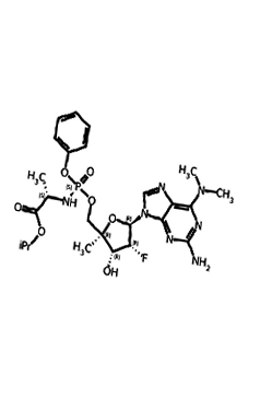 CC(C)OC(=O)[C@H](C)N[P@](=O)(OC[C@@]1(C)O[C@@H](n2cnc3c(N(C)C)nc(N)nc32)[C@H](F)[C@@H]1O)Oc1ccccc1